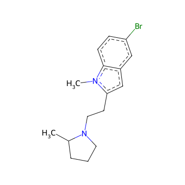 CC1CCCN1CCc1cc2cc(Br)ccc2n1C